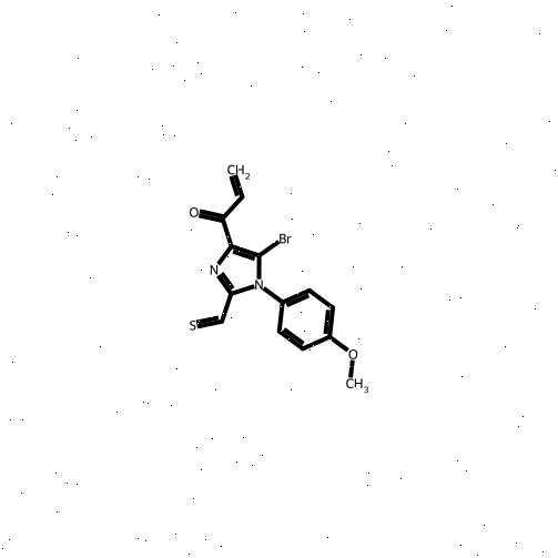 C=CC(=O)c1nc(C=S)n(-c2ccc(OC)cc2)c1Br